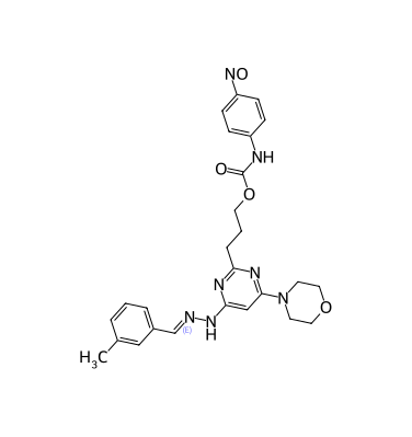 Cc1cccc(/C=N/Nc2cc(N3CCOCC3)nc(CCCOC(=O)Nc3ccc(N=O)cc3)n2)c1